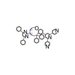 C1=C\C(c2nc(-c3ccccc3)cc(-c3ccccc3)n2)=C/CC(c2ccccc2)(c2ccccc2)c2cc(-c3cc(-c4ccncc4)nc(-c4ccncc4)c3)ccc2OC/1